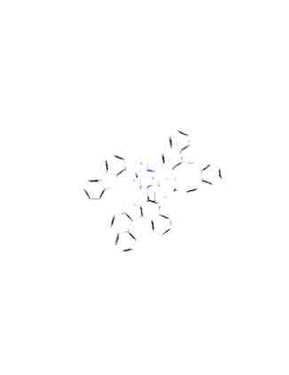 C=C1/C=C\c2ccccc2Cc2c(c(-c3nc(-c4cccc5c4oc4ccccc45)nc(-c4cc5ccccc5c5c4oc4ccc6ccccc6c45)n3)cc3ccccc23)O1